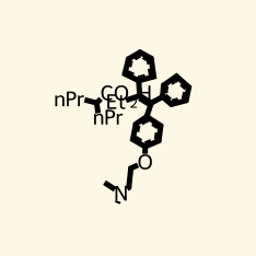 CCC(=C(c1ccccc1)c1ccc(OCCN(C)C)cc1)c1ccccc1.CCCC(CCC)C(=O)O